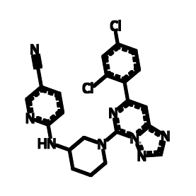 N#Cc1ccc(NC2CCCN(c3nc(-c4ccc(Cl)cc4Cl)cc4ncnn34)C2)nc1